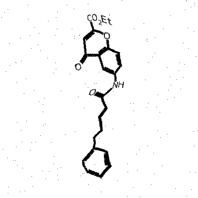 CCOC(=O)c1cc(=O)c2cc(NC(=O)CCCCc3ccccc3)ccc2o1